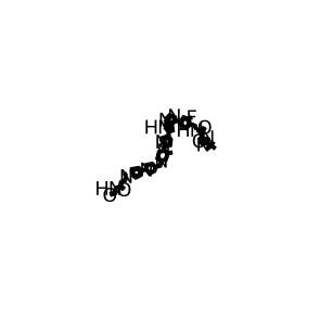 CC1CN(CC2CCN(c3ccc(N(C)CCC(=O)NC=O)cc3)CC2)CCN1c1ccc(-c2cc3c(-c4ccc(CNC(=O)c5nc(C(C)(C)C)no5)c(F)c4)ncnc3[nH]2)cn1